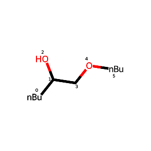 [CH2]CCCC(O)COCCCC